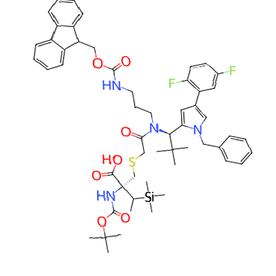 CC([C@@](CSCC(=O)N(CCCNC(=O)OCC1c2ccccc2-c2ccccc21)[C@@H](c1cc(-c2cc(F)ccc2F)cn1Cc1ccccc1)C(C)(C)C)(NC(=O)OC(C)(C)C)C(=O)O)[Si](C)(C)C